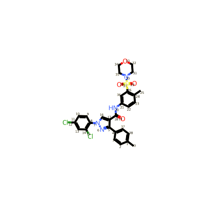 Cc1ccc(-c2nn(-c3ccc(Cl)cc3Cl)cc2C(=O)Nc2ccc(C)c(S(=O)(=O)N3CCOCC3)c2)cc1